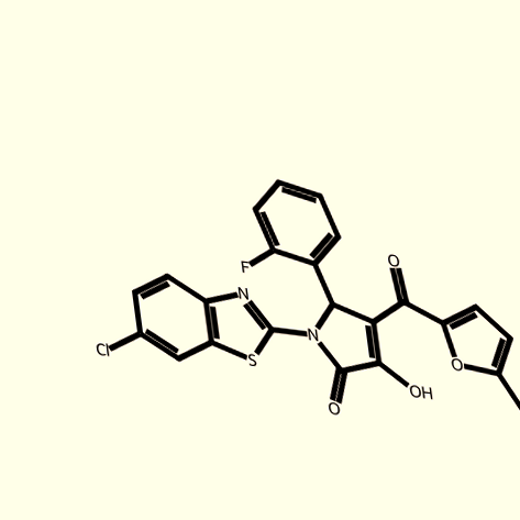 Cc1ccc(C(=O)C2=C(O)C(=O)N(c3nc4ccc(Cl)cc4s3)C2c2ccccc2F)o1